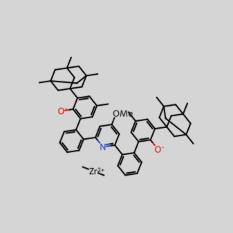 COc1cc(-c2ccccc2-c2cc(C)cc(C34CC5(C)CC(C)(CC(C)(C5)C3)C4)c2[O-])nc(-c2ccccc2-c2cc(C)cc(C34CC5(C)CC(C)(CC(C)(C5)C3)C4)c2[O-])c1.[CH3][Zr+2][CH3]